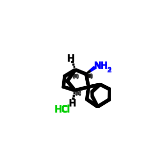 Cl.N[C@@H]1[C@@H]2CC[C@@H](C2)C12CC1CCC2CC1